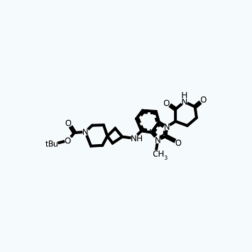 Cn1c(=O)n(C2CCC(=O)NC2=O)c2cccc(NC3CC4(CCN(C(=O)OC(C)(C)C)CC4)C3)c21